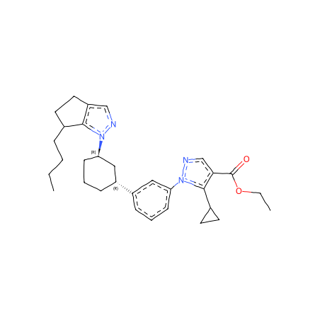 CCCCC1CCc2cnn([C@@H]3CCC[C@@H](c4cccc(-n5ncc(C(=O)OCC)c5C5CC5)c4)C3)c21